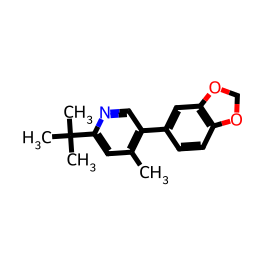 Cc1cc(C(C)(C)C)ncc1-c1ccc2c(c1)OCO2